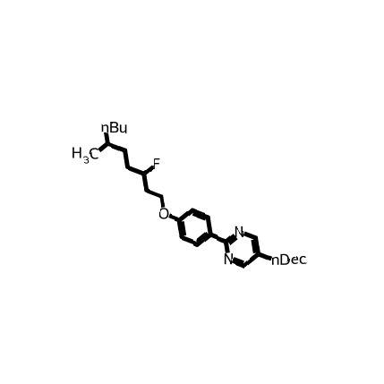 CCCCCCCCCCc1cnc(-c2ccc(OCCC(F)CCC(C)CCCC)cc2)nc1